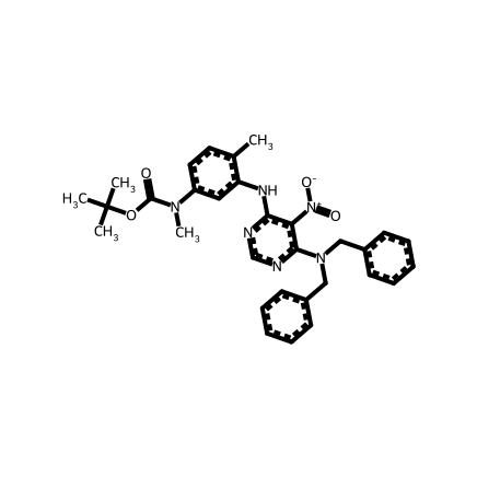 Cc1ccc(N(C)C(=O)OC(C)(C)C)cc1Nc1ncnc(N(Cc2ccccc2)Cc2ccccc2)c1[N+](=O)[O-]